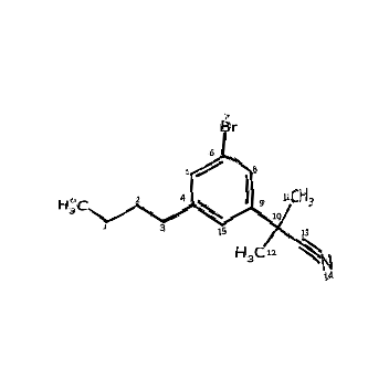 CCCCc1cc(Br)cc(C(C)(C)C#N)c1